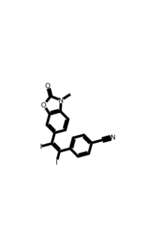 Cn1c(=O)oc2cc(/C(I)=C(/I)c3ccc(C#N)cc3)ccc21